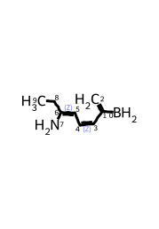 BC(=C)/C=C\C=C(/N)CC